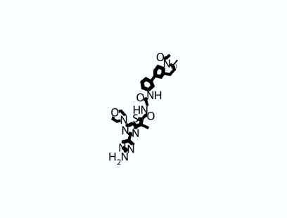 CC(=O)N1c2ccc(-c3cccc(NC(=O)CNC(=O)c4sc5c(N6CCOCC6)nc(-c6cnc(N)nc6)nc5c4C)c3)cc2CC[C@@H]1C